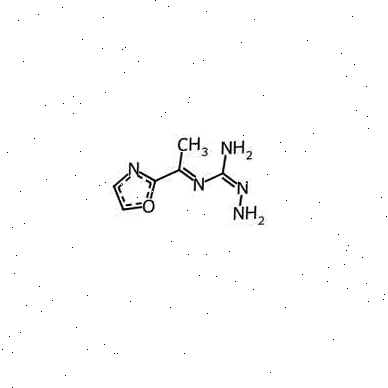 C/C(=N\C(N)=N/N)c1ncco1